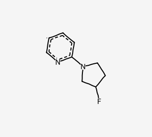 FC1CCN(c2cc[c]cn2)C1